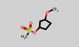 CS(=O)(=O)OC1CCC(OC(F)(F)F)C1